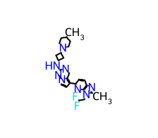 Cc1nc2ccc(-c3ccn4nc(N[C@H]5C[C@@H](N6CCC(C)CC6)C5)ncc34)nc2n1CC(F)F